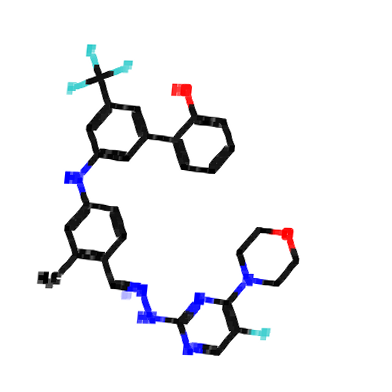 Cc1cc(Nc2cc(-c3ccccc3O)cc(C(F)(F)F)c2)ccc1/C=N/Nc1ncc(F)c(N2CCOCC2)n1